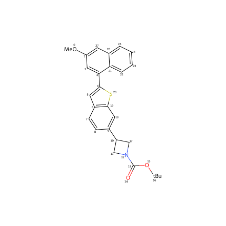 COc1cc(-c2cc3ccc(C4CN(C(=O)OC(C)(C)C)C4)cc3s2)c2ccccc2c1